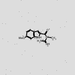 COc1ccc2cc(C(=O)N(C)C(=N)N)[nH]c2c1